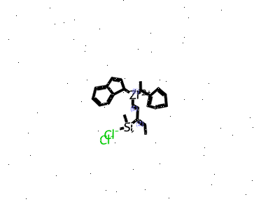 C/C=C(/C=[CH]/[Zr+2](=[C](/C)c1ccccc1)[CH]1C=Cc2ccccc21)[Si](C)(C)C.[Cl-].[Cl-]